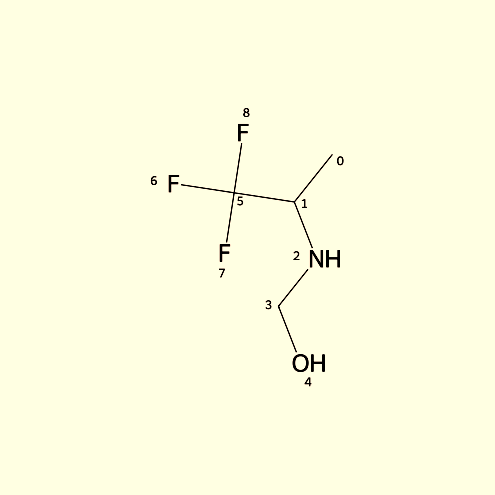 CC(NCO)C(F)(F)F